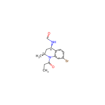 CCC(=O)N1c2cc(Br)ccc2[C@H](NC=O)C[C@@H]1C